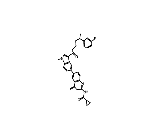 C=C1CC(NC(=O)C2CC2)=Nc2ccc(-c3ccc4c(c3)c(C(=O)CCC[C@@H](C)c3cccc(F)c3)cn4C)cc21